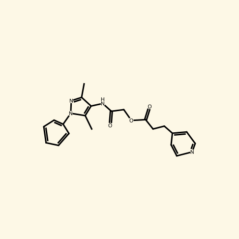 Cc1nn(-c2ccccc2)c(C)c1NC(=O)COC(=O)CCc1ccncc1